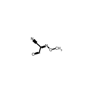 CON=C([C]=O)C#N